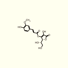 COc1cc(C=CC(=O)OC2=C(O)C(=O)O[C@@H]2[C@@H](O)CO)ccc1O